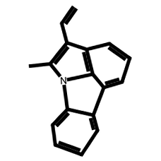 C=Cc1c(C)n2c3ccccc3c3cccc1c32